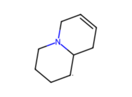 [CH]1CCCN2CC=CCC12